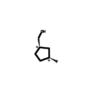 OC[C@H]1CC[C@@H](F)C1